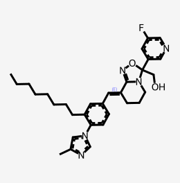 CCCCCCCCc1cc(/C=C2\CCCN3C2=NOC3(CO)c2cncc(F)c2)ccc1-n1cnc(C)c1